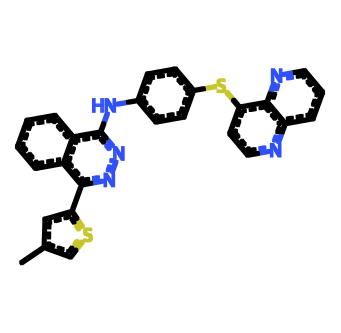 Cc1csc(-c2nnc(Nc3ccc(Sc4ccnc5cccnc45)cc3)c3ccccc23)c1